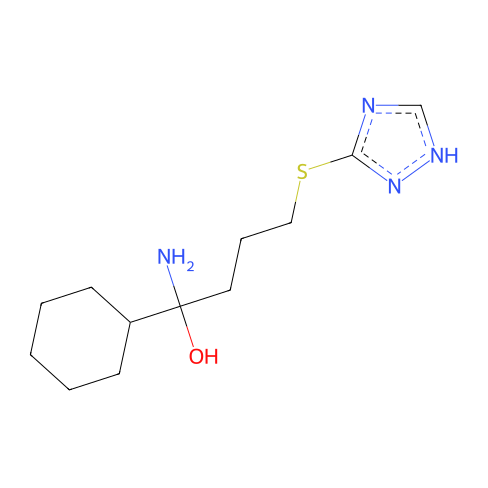 NC(O)(CCCSc1nc[nH]n1)C1CCCCC1